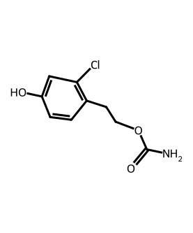 NC(=O)OCCc1ccc(O)cc1Cl